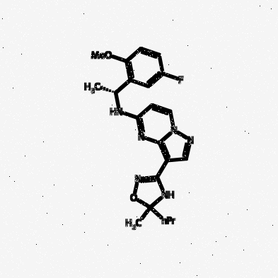 CCCC1(C)NC(c2cnn3ccc(N[C@H](C)c4cc(F)ccc4OC)nc23)=NO1